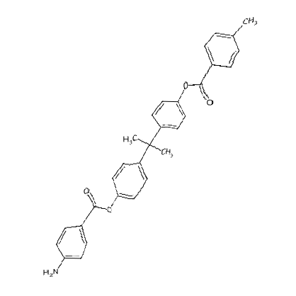 Cc1ccc(C(=O)Oc2ccc(C(C)(C)c3ccc(OC(=O)c4ccc(N)cc4)cc3)cc2)cc1